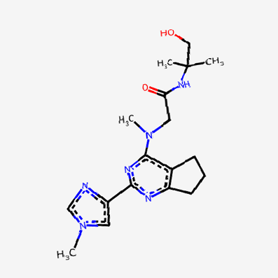 CN(CC(=O)NC(C)(C)CO)c1nc(-c2cn(C)cn2)nc2c1CCC2